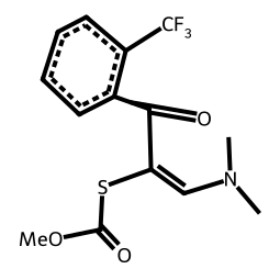 COC(=O)SC(=CN(C)C)C(=O)c1ccccc1C(F)(F)F